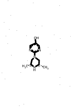 C[C@@H]1CN(c2ncc(O)cn2)C[C@H](C)N1